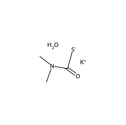 CN(C)C(=O)[S-].O.[K+]